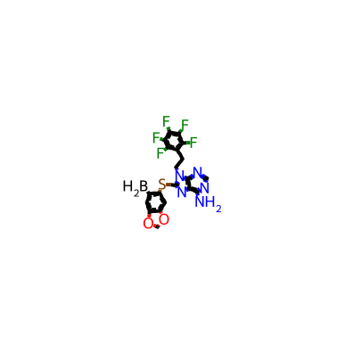 Bc1cc2c(cc1Sc1nc3c(N)ncnc3n1CCc1c(F)c(F)c(F)c(F)c1F)OCO2